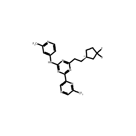 FC1(F)CC[C@H](CCc2nc(Nc3ccnc(C(F)(F)F)c3)nc(-c3cncc(C(F)(F)F)n3)n2)C1